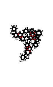 Fc1cccc(C2(c3cc4c5c(c3)N(c3c(-c6ccccc6)cccc3-c3ccccc3)c3cc(-c6ccc7sc8ccccc8c7c6)ccc3B5c3ccc(-c5ccc6oc7ccccc7c6c5)cc3N4c3c(-c4ccccc4)cccc3-c3ccccc3)c3ccccc3-c3ccccc32)c1